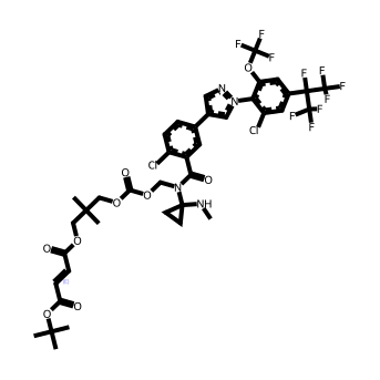 CNC1(N(COC(=O)OCC(C)(C)COC(=O)/C=C/C(=O)OC(C)(C)C)C(=O)c2cc(-c3cnn(-c4c(Cl)cc(C(F)(C(F)(F)F)C(F)(F)F)cc4OC(F)(F)F)c3)ccc2Cl)CC1